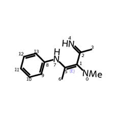 CN/C(C(C)=N)=C(\C)Nc1ccccc1